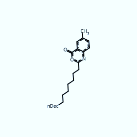 CCCCCCCCCCCCCCCCCc1nc2ccc(C)cc2c(=O)o1